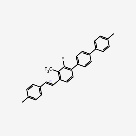 Cc1ccc(/C=C/c2ccc(-c3ccc(-c4ccc(C)cc4)cc3)c(F)c2C(F)(F)F)cc1